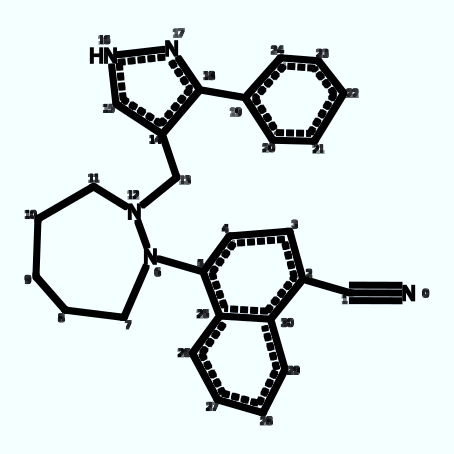 N#Cc1ccc(N2CCCCCN2Cc2c[nH]nc2-c2ccccc2)c2ccccc12